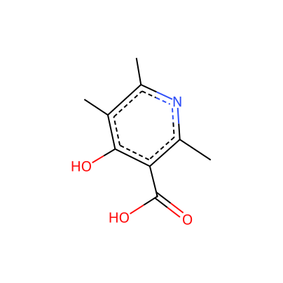 Cc1nc(C)c(C(=O)O)c(O)c1C